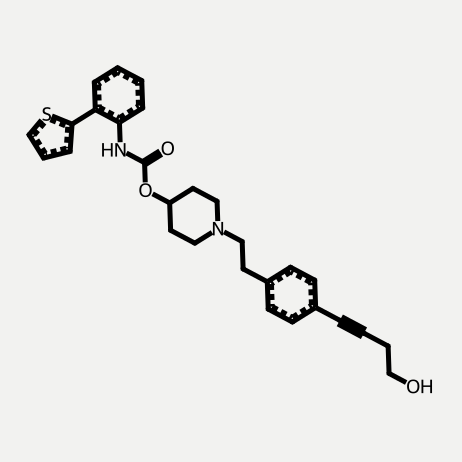 O=C(Nc1ccccc1-c1cccs1)OC1CCN(CCc2ccc(C#CCCO)cc2)CC1